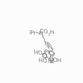 CC(C)CCN(CCCCN1CCN(Cc2ccc(-n3c(O)nnc3-c3cc(C(C)C)c(O)cc3O)cc2)CC1)C(=O)O